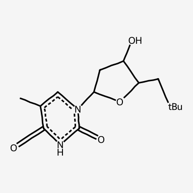 Cc1cn(C2CC(O)C(CC(C)(C)C)O2)c(=O)[nH]c1=O